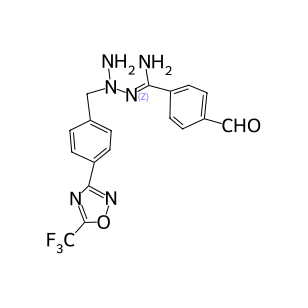 N/C(=N\N(N)Cc1ccc(-c2noc(C(F)(F)F)n2)cc1)c1ccc(C=O)cc1